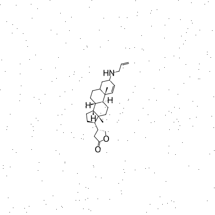 C=CCNC1C=C[C@@]2(C)C(CC[C@H]3[C@H]4CC[C@H]([C@@H]5COC(=O)C5)[C@@]4(C)CC[C@@H]32)C1